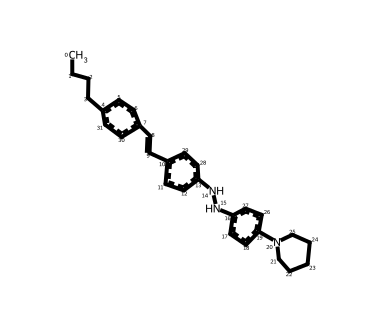 CCCCc1ccc(/C=C/c2ccc(NNc3ccc(N4CCCCC4)cc3)cc2)cc1